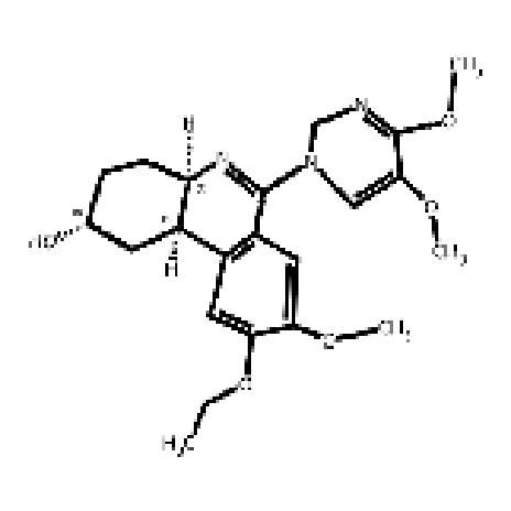 CCOc1cc2c(cc1OC)C(N1C=C(OC)C(OC)=NC1)=N[C@@H]1CC[C@@H](O)C[C@H]21